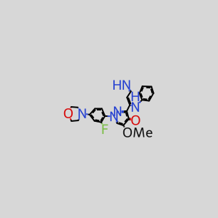 COc1cn(-c2ccc(N3CCOCC3)cc2F)nc(/C(=C/C=N)Nc2ccccc2)c1=O